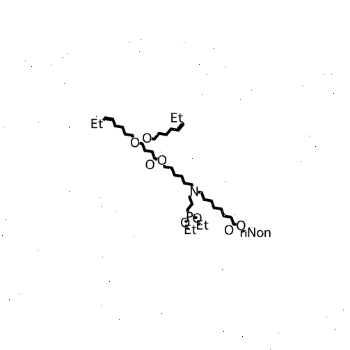 CC/C=C\CCCCOC(CCC(=O)OCCCCCCN(CCCCCCCC(=O)OCCCCCCCCC)CCCP(OCC)OCC)OCCCC/C=C\CC